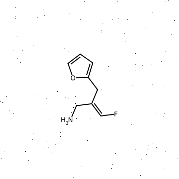 NC/C(=C/F)Cc1ccco1